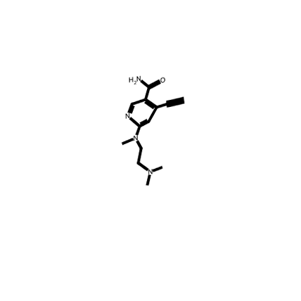 C#Cc1cc(N(C)CCN(C)C)ncc1C(N)=O